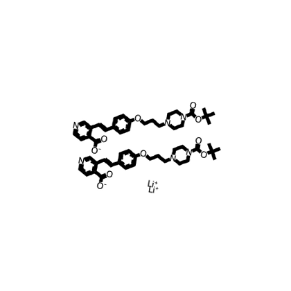 CC(C)(C)OC(=O)N1CCN(CCCOc2ccc(/C=C/c3cnccc3C(=O)[O-])cc2)CC1.CC(C)(C)OC(=O)N1CCN(CCCOc2ccc(/C=C/c3cnccc3C(=O)[O-])cc2)CC1.[Li+].[Li+]